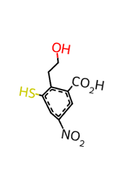 O=C(O)c1cc([N+](=O)[O-])cc(S)c1CCO